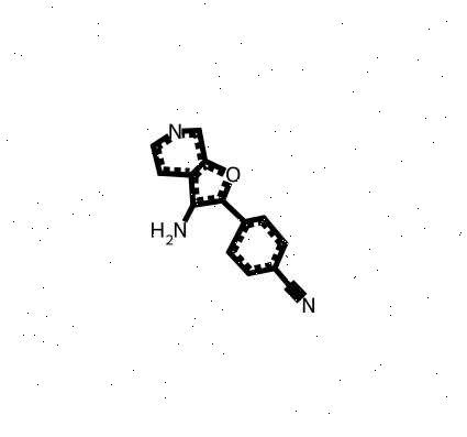 N#Cc1ccc(-c2oc3cnccc3c2N)cc1